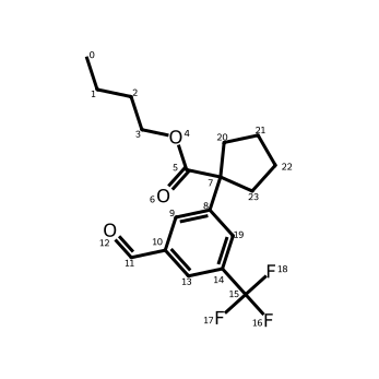 CCCCOC(=O)C1(c2cc(C=O)cc(C(F)(F)F)c2)CCCC1